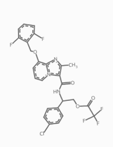 Cc1nc2c(OCc3c(F)cccc3F)cccn2c1C(=O)NC(COC(=O)C(F)(F)F)c1ccc(Cl)cc1